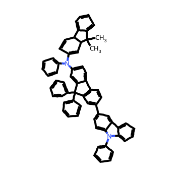 CC1(C)c2ccccc2C2C=CC(N(c3ccccc3)c3ccc4c(c3)C(c3ccccc3)(c3ccccc3)c3cc(-c5ccc6c(c5)c5ccccc5n6-c5ccccc5)ccc3-4)=CC21